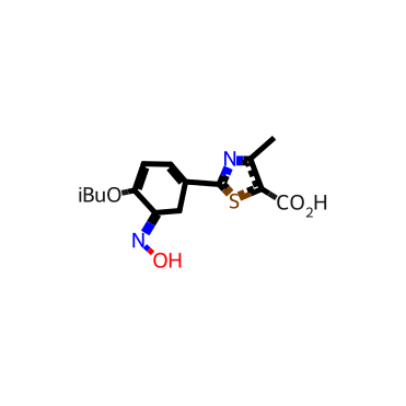 Cc1nc(C2=CC=C(OCC(C)C)C(=NO)C2)sc1C(=O)O